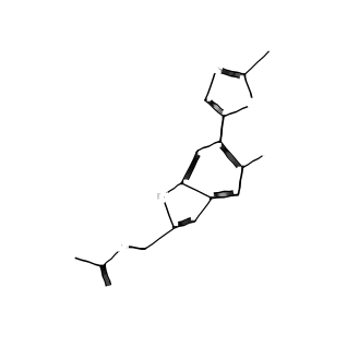 CC(=O)NCc1cc2cc(Cl)c(-c3cnc(C)o3)cc2[nH]1